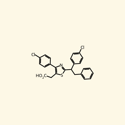 O=C(O)Cc1sc(C(Cc2ccccc2)c2ccc(Cl)cc2)nc1-c1ccc(Cl)cc1